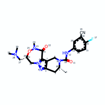 C[C@@H]1Cc2nn3c(c2CN1C(=O)Nc1ccc(F)c(C#N)c1)C(=O)N(C)O[C@@H](CN(C)C)C3